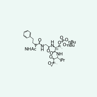 CCCCOP(=O)(OCCCC)O[C@H](C)[C@H](NC(=O)CNC(=O)[C@H](CCc1ccccc1)NC(C)=O)C(=O)NC(C(=O)[C@@]1(C)CO1)C(C)C